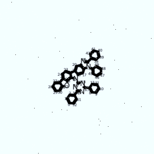 c1ccc(-c2nc(-c3ccccc3)nc(-n3c4cc5c(cc4c4ccc6c7ccccc7oc6c43)nc(-c3ccccc3)n5-c3ccccc3)n2)cc1